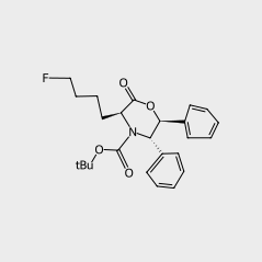 CC(C)(C)OC(=O)N1[C@@H](CCCCF)C(=O)O[C@@H](c2ccccc2)[C@@H]1c1ccccc1